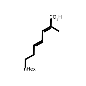 CCCCCCCC/C=C/C=C(\C)C(=O)O